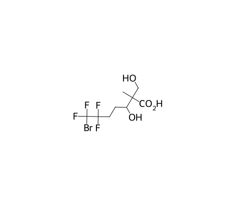 CC(CO)(C(=O)O)C(O)CCC(F)(F)C(F)(F)Br